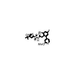 COc1cc(-c2cc(F)cc(C(C)C)c2CC(=O)NS(=O)(=O)c2cc(C(C)(C)OC)cs2)ccn1